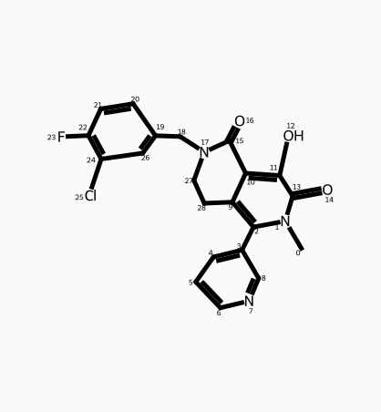 Cn1c(-c2cccnc2)c2c(c(O)c1=O)C(=O)N(Cc1ccc(F)c(Cl)c1)CC2